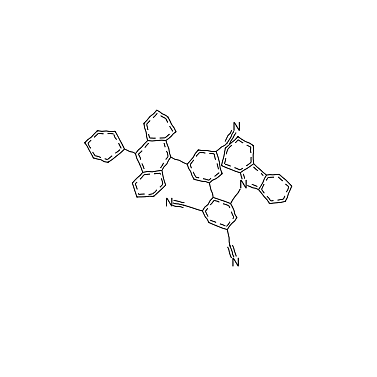 N#Cc1cc(-c2c(C#N)cc(C#N)cc2-n2c3ccccc3c3ccccc32)cc(-c2c3ccccc3c(-c3ccccc3)c3ccccc23)c1